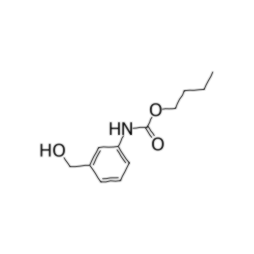 CCCCOC(=O)Nc1cccc(CO)c1